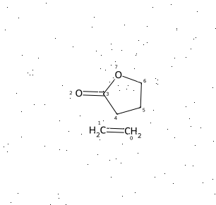 C=C.O=C1CCCO1